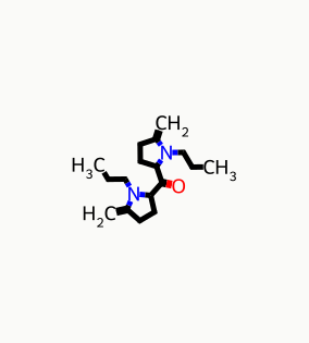 C=C1CCC(C(=O)C2CCC(=C)N2CCC)N1CCC